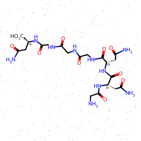 NCC(=O)N[C@@H](CC(N)=O)C(=O)N[C@@H](CC(N)=O)C(=O)NCC(=O)NCC(=O)NCC(=O)N[C@@H](CC(N)=O)C(=O)O